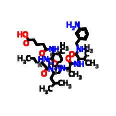 CCC[C@H](NC(=O)[C@@H](NC(=O)CCCC(=O)O)[C@@H](C)CC)C(=O)N[C@H](CN[C@@H](C)C(=O)NC(C(=O)NCc1cccc(N)c1)C(C)C)CC(C)C